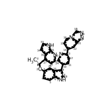 C[C@@H](Oc1ccc2[nH]nc(-c3ccc(-c4ccn5cnnc5c4)nc3)c2c1)c1ccnc2[nH]ccc12